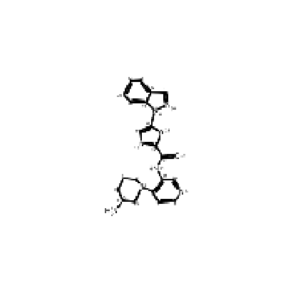 N[C@H]1CCCN(c2ccncc2NC(=O)c2ncc(-n3ncc4ccccc43)o2)C1